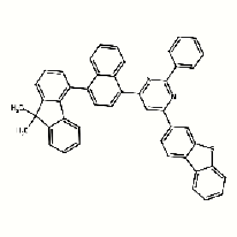 CC1(C)c2ccccc2-c2c(-c3ccc(-c4cc(-c5ccc6c(c5)sc5ccccc56)nc(-c5ccccc5)n4)c4ccccc34)cccc21